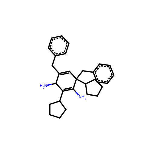 NC1=C(C2CCCC2)C(N)C(Cc2ccccc2)=CC1(Cc1ccccc1)C1CCCC1